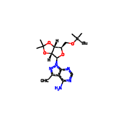 CC1(C)O[C@@H]2[C@H](O1)[C@@H](CO[Si](C)(C)C(C)(C)C)O[C@H]2n1nc(C=O)c2c(N)ncnc21